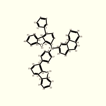 c1ccc(-c2ccc(N(c3ccc(-c4cccc5c4sc4ccccc45)cc3)c3ccc4ccc5ccccc5c4c3)c3oc4ccccc4c23)cc1